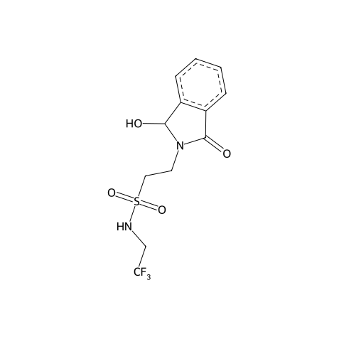 O=C1c2ccccc2C(O)N1CCS(=O)(=O)NCC(F)(F)F